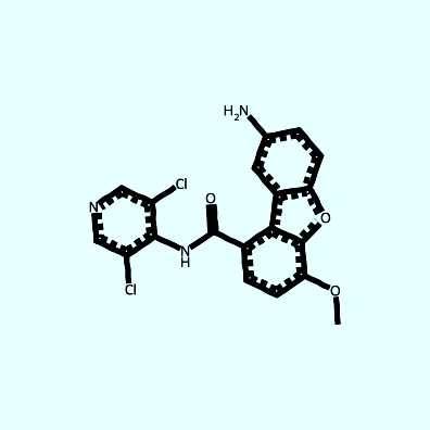 COc1ccc(C(=O)Nc2c(Cl)cncc2Cl)c2c1oc1ccc(N)cc12